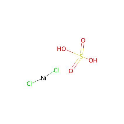 O=S(=O)(O)O.[Cl][Ni][Cl]